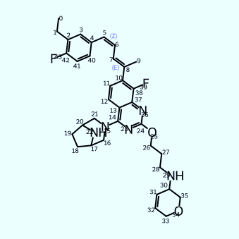 CCc1cc(/C=C\C=C(/C)c2ccc3c(N4CC5CCC(C4)N5)nc(OCCCNC4C=CCOC4)nc3c2F)ccc1F